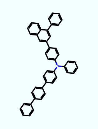 c1ccc(-c2ccc(-c3ccc(N(c4ccccc4)c4ccc(-c5cc(-c6ccccc6)c6ccccc6c5)cc4)cc3)cc2)cc1